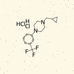 Cl.Cl.FC(F)(F)c1cccc(N2CCN(CC3CC3)CC2)c1